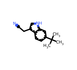 CC(C)(C)c1ccc2c(CC#N)c[nH]c2c1